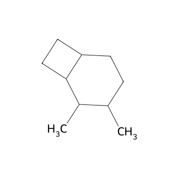 CC1CCC2CCC2C1C